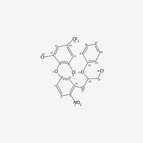 O=[N+]([O-])c1ccc(Oc2c(Cl)cc(C(F)(F)F)cc2Cl)cc1OC(CCl)Oc1ccccc1